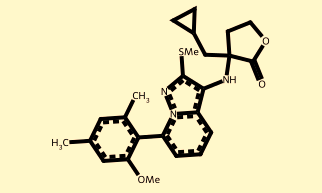 COc1cc(C)cc(C)c1-c1cccc2c(NC3(CC4CC4)CCOC3=O)c(SC)nn12